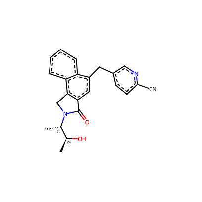 C[C@H](O)[C@H](C)N1Cc2c(cc(Cc3ccc(C#N)nc3)c3ccccc23)C1=O